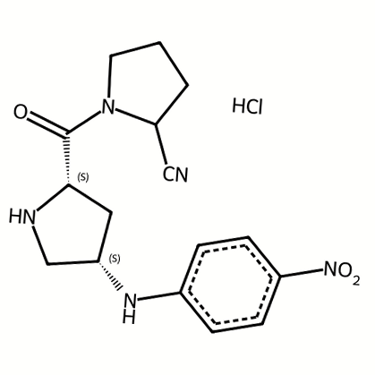 Cl.N#CC1CCCN1C(=O)[C@@H]1C[C@H](Nc2ccc([N+](=O)[O-])cc2)CN1